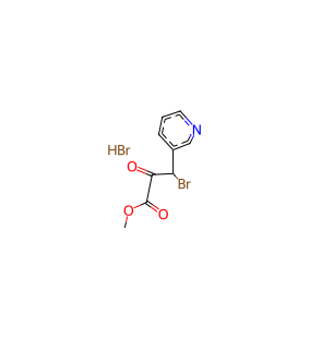 Br.COC(=O)C(=O)C(Br)c1cccnc1